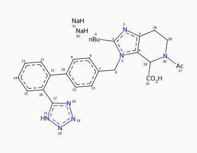 CCCCc1nc2c(n1Cc1ccc(-c3ccccc3-c3nnn[nH]3)cc1)C(C(=O)O)N(C(C)=O)CC2.[NaH].[NaH]